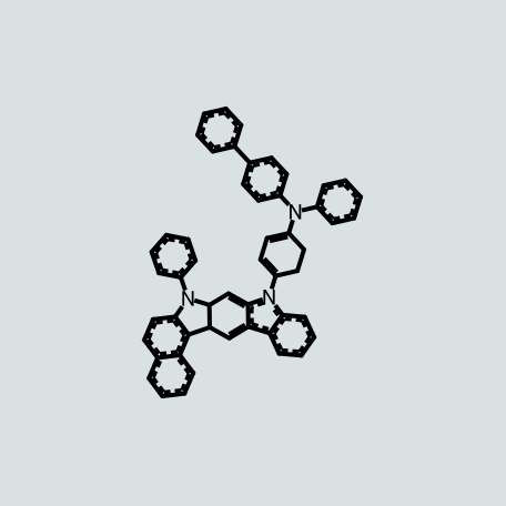 C1=C(N(c2ccccc2)c2ccc(-c3ccccc3)cc2)CCC(n2c3c(c4ccccc42)=CC2c4c(ccc5ccccc45)N(c4ccccc4)C2C=3)=C1